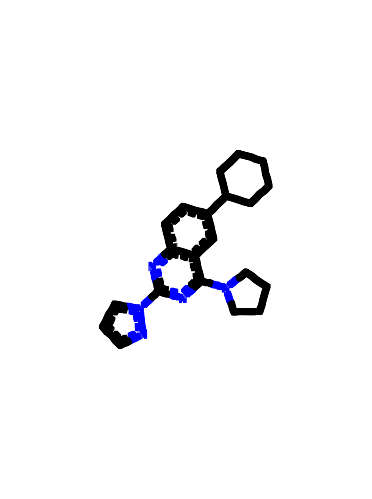 c1cnn(-c2nc(N3CCCC3)c3cc(C4CCCCC4)ccc3n2)c1